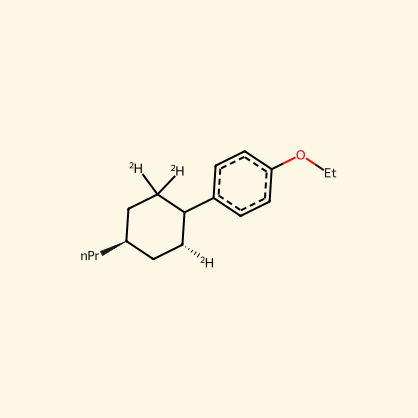 [2H][C@@H]1C[C@@H](CCC)CC([2H])([2H])C1c1ccc(OCC)cc1